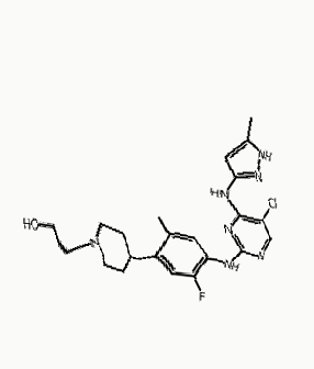 Cc1cc(Nc2nc(Nc3cc(C)c(C4CCN(CCO)CC4)cc3F)ncc2Cl)n[nH]1